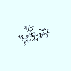 CN1CC(=O)N(C[C@@H]2Cc3ncc(NC(=O)c4c(Cl)cccc4Cl)cc3N(S(=O)(=O)c3cccc(Cl)c3)C2)C1=O